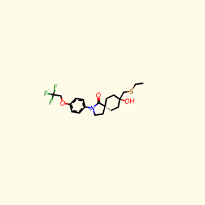 CCSC[C@]1(O)CC[C@@]2(CCN(c3ccc(OCC(F)(F)F)cc3)C2=O)CC1